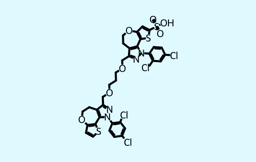 O=S(=O)(O)c1cc2c(s1)-c1c(c(COCCCOCc3nn(-c4ccc(Cl)cc4Cl)c4c3CCOc3ccsc3-4)nn1-c1ccc(Cl)cc1Cl)CCO2